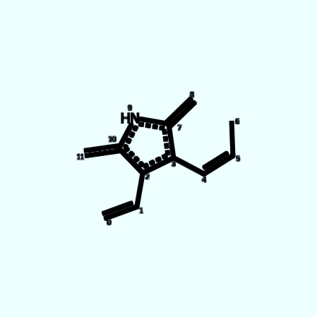 C=Cc1c(/C=C\C)c(=C)[nH]c1=C